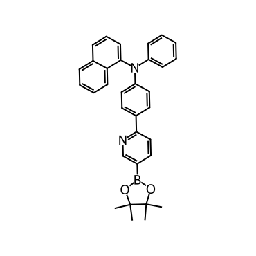 CC1(C)OB(c2ccc(-c3ccc(N(c4ccccc4)c4cccc5ccccc45)cc3)nc2)OC1(C)C